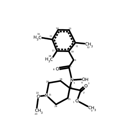 COC(=O)C1(N(O)C(=O)Cc2c(C)ccc(C)c2C)CCN(OC)CC1